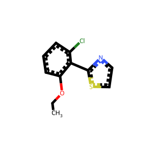 CCOc1cccc(Cl)c1-c1nccs1